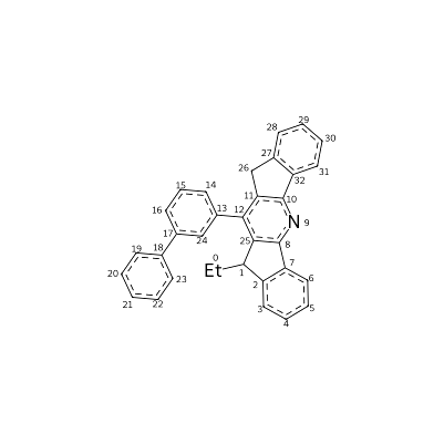 CCC1c2ccccc2-c2nc3c(c(-c4cccc(-c5ccccc5)c4)c21)Cc1ccccc1-3